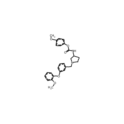 COc1ccc(OC(=O)NC2CCN(Cc3cccc(Oc4ccccc4OC)c3)C2)cc1